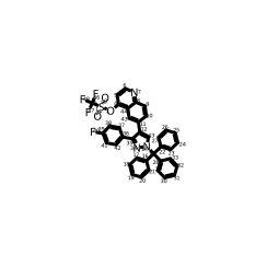 O=S(=O)(Oc1ccnc2ccc(-c3cn(C(c4ccccc4)(c4ccccc4)c4ccccc4)nc3-c3ccc(F)cc3)cc12)C(F)(F)F